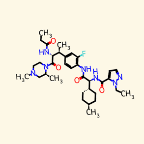 CCC(=O)N[C@@H](C(=O)N1CCN(C)C[C@@H]1C)[C@@H](C)c1ccc(NC(=O)[C@@H](NC(=O)c2ccnn2CC)[C@H]2CC[C@H](C)CC2)c(F)c1